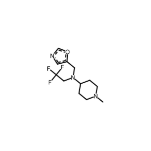 CN1CCC(N(Cc2cnco2)CC(F)(F)F)CC1